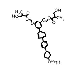 C=C(CO)C(=O)OCOc1cc(OCOC(=O)C(=C)CO)cc(-c2ccc(-c3ccc(C4CCC(CCCCCCC)CC4)cc3)cc2)c1